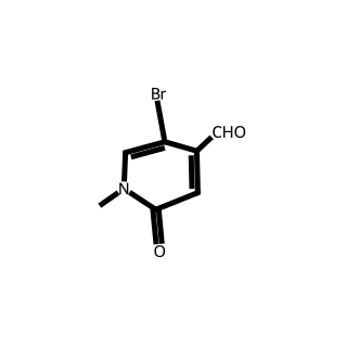 Cn1cc(Br)c(C=O)cc1=O